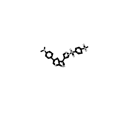 CN(C)c1ccc(-c2cnc3[nH]cc(-c4cnn(S(=O)(=O)c5ccc(S(C)(=O)=O)cc5)c4)c3c2)cc1